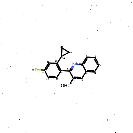 O=Cc1cc2ccccc2nc1-c1ccc(F)cc1C1CC1